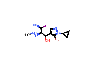 CN/N=C(\C(=N)I)C(O)c1cnn(C2CC2)c1Br